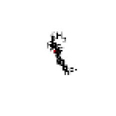 C=CCCc1ccc(-c2ccc(OCC3CCC4CC(c5ccc(CCC)cc5)CCC4C3)c(F)c2F)c(F)c1F